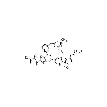 CCNC(=O)Nc1nc2cc(-c3cnc(C4(OC(=O)CCC(=O)O)COC4)nc3)cc(-c3cc(CN4C[C@@H](C)O[C@@H](C)C4)ccn3)c2s1